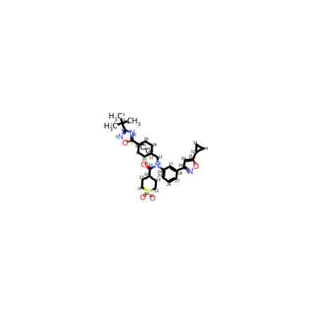 CC(C)(C)c1noc(C23CCC(CN(C(=O)C4CCS(=O)(=O)CC4)c4cccc(-c5cc(C6CC6)on5)c4)(CC2)CC3)n1